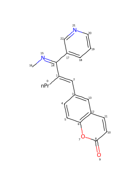 CCCC(=C\c1ccc2oc(=O)ccc2c1)/C(=N\C)c1cccnc1